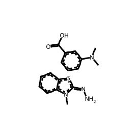 CN(C)c1cccc(C(=O)O)c1.Cn1c(=NN)sc2ccccc21